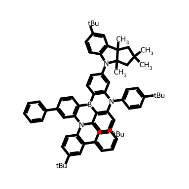 CC1(C)CC2(C)c3cc(C(C)(C)C)ccc3N(c3ccc4c(c3)N(c3ccc(C(C)(C)C)cc3)c3cc(C(C)(C)C)cc5c3B4c3ccc(-c4ccccc4)cc3N5c3ccc(C(C)(C)C)cc3-c3ccccc3)C2(C)C1